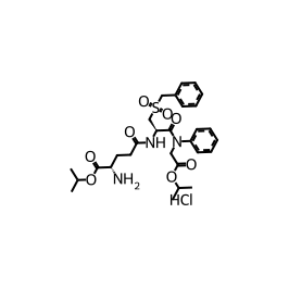 CC(C)OC(=O)CN(C(=O)[C@H](CS(=O)(=O)Cc1ccccc1)NC(=O)CC[C@H](N)C(=O)OC(C)C)c1ccccc1.Cl